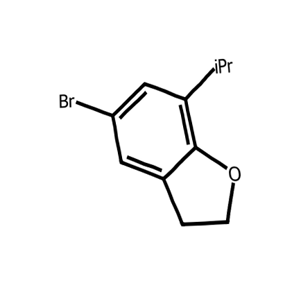 CC(C)c1cc(Br)cc2c1OCC2